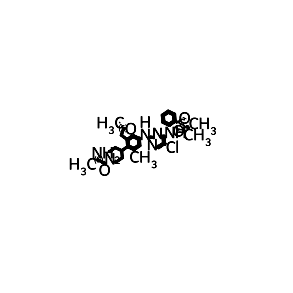 Cc1cc(Nc2ncc(Cl)c(Nc3ccccc3S(=O)(=O)C(C)C)n2)c2c(c1C1CCN(C(=O)[C@H](C)N)CC1)C[C@H](C)O2